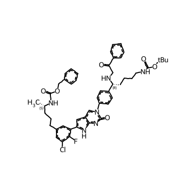 C[C@@H](CCCc1cc(Cl)c(F)c(-c2cc3cn(-c4ccc([C@@H](CCCCNC(=O)OC(C)(C)C)NCC(=O)c5ccccc5)cc4)c(=O)nc3[nH]2)c1)NC(=O)OCc1ccccc1